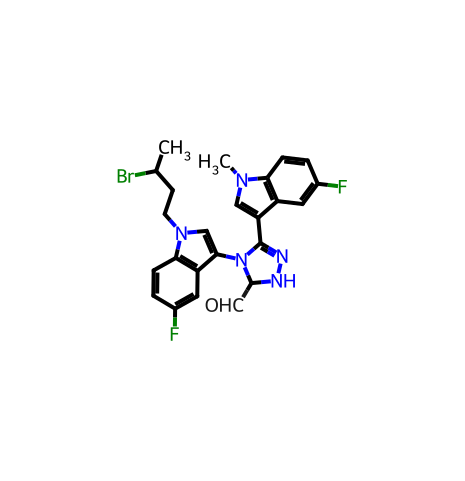 CC(Br)CCn1cc(N2C(c3cn(C)c4ccc(F)cc34)=NNC2C=O)c2cc(F)ccc21